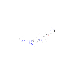 O=c1c2cc(-c3cccnc3)oc2ccn1C1=Cc2cnn(CCN3CCCC3)c2CC1